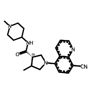 CC1CN(c2ccc(C#N)c3ncccc23)C[C@H]1C(=O)NC1CCN(C)CC1